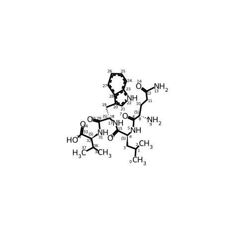 CC(C)C[C@H](NC(=O)[C@@H](N)CCC(N)=O)C(=O)N[C@@H](Cc1c[nH]c2ccccc12)C(=O)N[C@H](C(=O)O)C(C)C